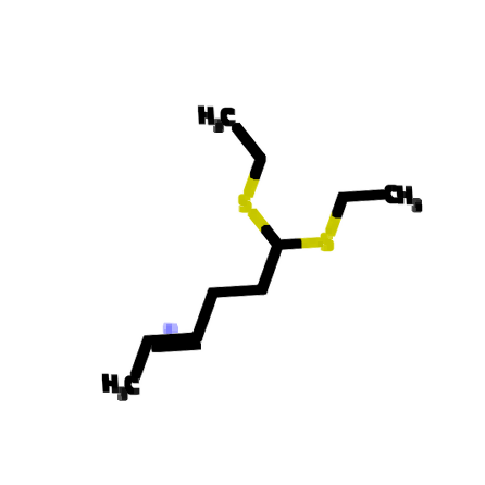 C/C=C/CCC(SCC)SCC